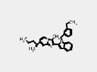 C=C(CCC)c1ccn2c(C)c(-c3cc4ccccc4n3Cc3cccc(CC)c3)nc2c1